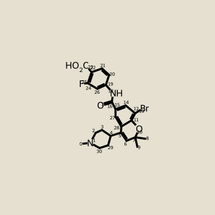 CN1CCC(C2=CC(C)(C)Oc3c(Br)cc(C(=O)Nc4ccc(C(=O)O)c(F)c4)cc32)CC1